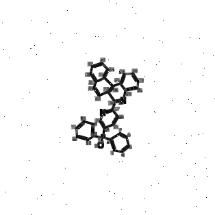 O=P(c1ccccc1)(c1ccccc1)c1ccc(-c2nc3ccccc3c3c2ccc2ccccc23)nc1